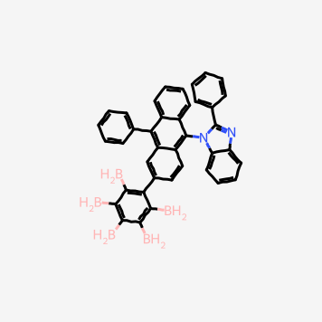 Bc1c(B)c(B)c(-c2ccc3c(-n4c(-c5ccccc5)nc5ccccc54)c4ccccc4c(-c4ccccc4)c3c2)c(B)c1B